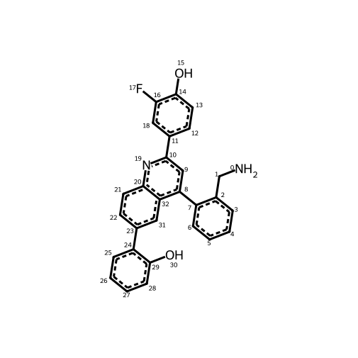 NCc1ccccc1-c1cc(-c2ccc(O)c(F)c2)nc2ccc(-c3ccccc3O)cc12